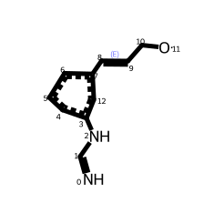 N=CNc1cccc(/C=C/C[O])c1